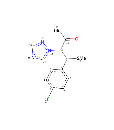 CSC(c1ccc(Cl)cc1)C(C(=O)C(C)(C)C)n1cncn1